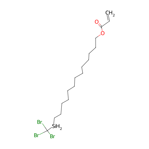 C=CC(=O)OCCCCCCCCCCCCC[SiH2]C(Br)(Br)Br